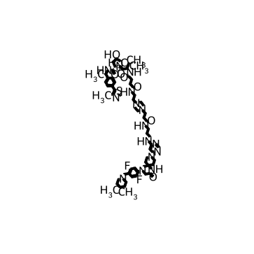 Cc1ncsc1-c1ccc([C@H](C)NC(=O)[C@@H]2C[C@@H](O)CN2C(=O)[C@@H](NC(=O)CCC(=O)NCCN2CCN(CCC(=O)NCCCNc3cc(N4CCC5(CC4)CN(c4cc(F)c(CN6CCC(C)(C)CC6)cc4F)CC(=O)N5)ncn3)CC2)C(C)(C)C)cc1